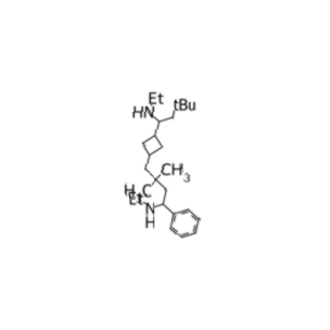 CCNC(CC(C)(C)CC1CC(C(CC(C)(C)C)NCC)C1)c1ccccc1